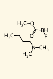 CCCCN(C)C.COC(=O)BF